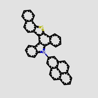 c1ccc2c(c1)ccc1c2sc2c3ccccc3c3c(c4ccccc4n3-c3cc4ccc5cccc6ccc(c3)c4c56)c12